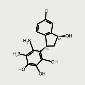 Bc1c(B)c([C@@H]2C[C@H](O)c3cc(Cl)ccc32)c(O)c(O)c1O